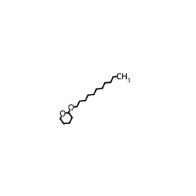 CCCCCCCCCCCOC1CCCCO1